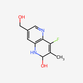 CC1=C(F)c2ncc(CO)cc2NC1O